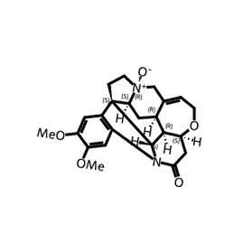 COc1cc2c(cc1OC)[C@@]13CC[N@@+]4([O-])CC5=CCO[C@H]6CC(=O)N2[C@H]1[C@H]6[C@H]5C[C@@H]34